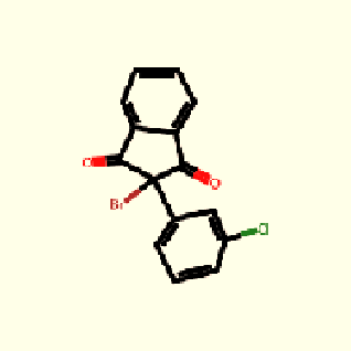 O=C1c2ccccc2C(=O)C1(Br)c1cccc(Cl)c1